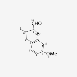 COc1ccc(CC(C)C(Br)C=O)cc1